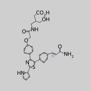 NC(=O)/C=C/c1ccc(-c2sc(-c3ccc[nH]3)nc2-c2ccc(OCC(=O)NCC(CO)CC(=O)O)cc2)cc1